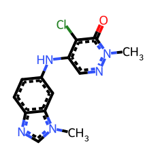 Cn1ncc(Nc2ccc3ncn(C)c3c2)c(Cl)c1=O